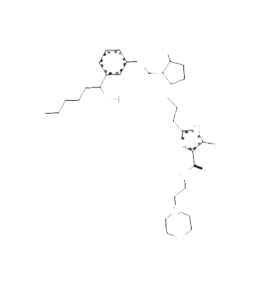 CCCCCC(O)c1cccc(SC[C@H]2C(Cl)CC[C@@H]2CCCc2nc(F)c(C(=O)OCCN3CCOCC3)s2)c1